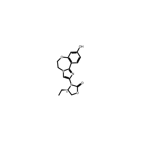 CC[C@@H]1COC(=O)N1c1cn2c(n1)-c1ccc(O)cc1OCC2